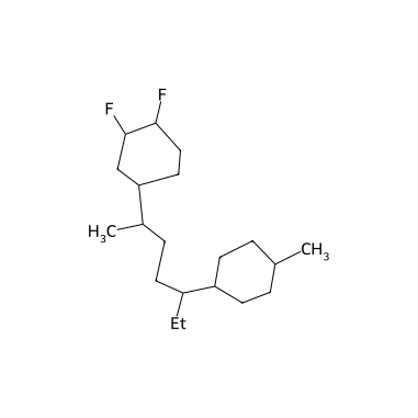 CCC(CCC(C)C1CCC(F)C(F)C1)C1CCC(C)CC1